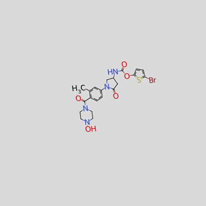 Cc1cc(N2CC(NC(=O)Oc3ccc(Br)s3)CC2=O)ccc1C(=O)N1CCN(O)CC1